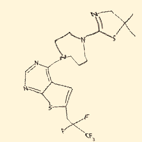 CC1(C)CN=C(N2CCN(c3ncnc4sc(C(F)(F)C(F)(F)F)cc34)CC2)S1